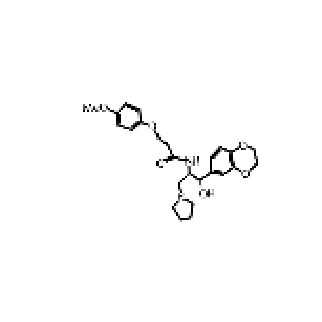 COc1ccc(OCCC(=O)N[C@H](CN2CCCC2)[C@@H](O)c2ccc3c(c2)OCCO3)cc1